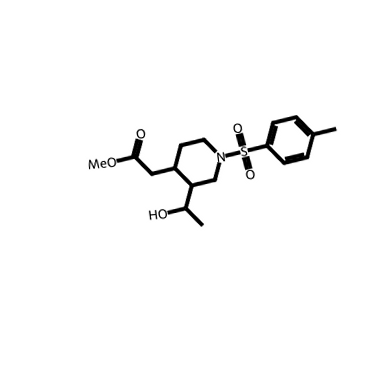 COC(=O)CC1CCN(S(=O)(=O)c2ccc(C)cc2)CC1C(C)O